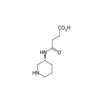 O=C(O)CCC(=O)N[C@H]1CCCNC1